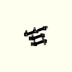 CCO.CCO.[Cl][Co][Cl]